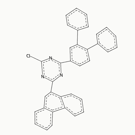 Clc1nc(-c2ccc(-c3ccccc3)c(-c3ccccc3)c2)nc(-c2cc3ccccc3c3ccccc23)n1